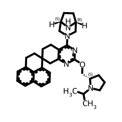 CC(C)N1CCC[C@H]1COc1nc2c(c(N3C[C@H]4CC[C@@H](C3)N4)n1)CCC1(CCc3cccc4cccc1c34)C2